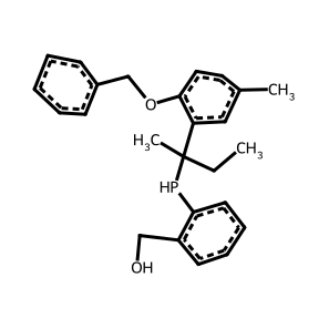 CCC(C)(Pc1ccccc1CO)c1cc(C)ccc1OCc1ccccc1